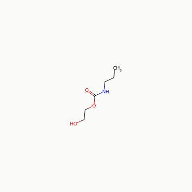 CCCNC(=O)OCCO